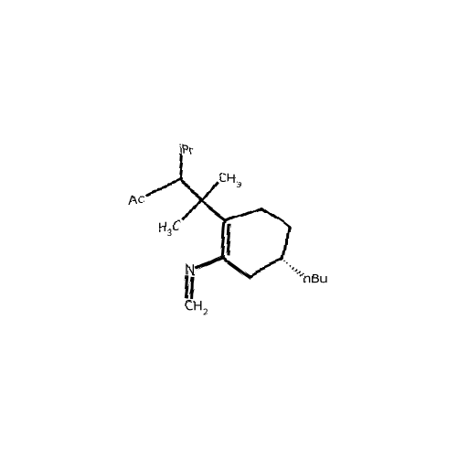 C=NC1=C(C(C)(C)C(C(C)=O)C(C)C)CC[C@H](CCCC)C1